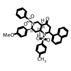 COc1ccc([C@@H]2C[C@H]3[C@@H](CN2S(=O)(=O)c2ccccc2)C(=O)CC(c2cccc4ccccc24)N3S(=O)(=O)c2ccc(C)cc2)cc1